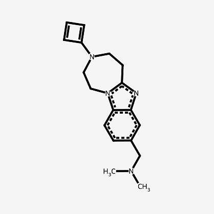 CN(C)Cc1ccc2c(c1)nc1n2CCN(C2=CC=C2)CC1